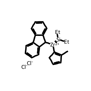 CC[Si](CC)=[Zr+2]([C]1=C(C)C=CC1)[CH]1c2ccccc2-c2ccccc21.[Cl-].[Cl-]